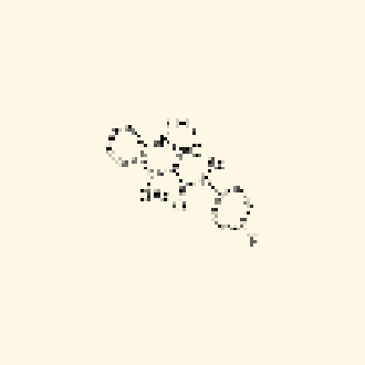 CC(=O)Oc1c(C(=O)N(C(C)=O)c2ccc(F)cc2)c(=O)n(C)c2ccccc12